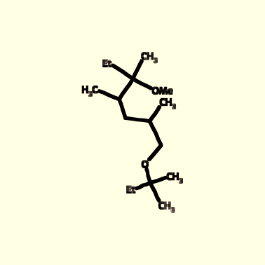 CCC(C)(C)OCC(C)CC(C)C(C)(CC)OC